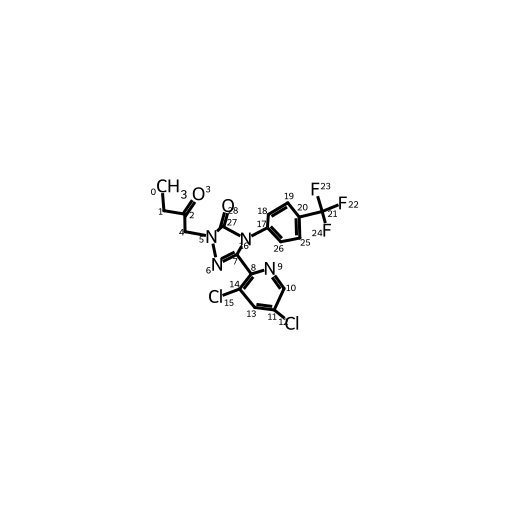 CCC(=O)Cn1nc(-c2ncc(Cl)cc2Cl)n(-c2ccc(C(F)(F)F)cc2)c1=O